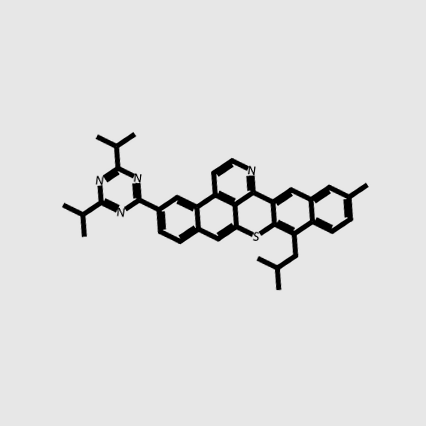 Cc1ccc2c(CC(C)C)c3c(cc2c1)-c1nccc2c1c(cc1ccc(-c4nc(C(C)C)nc(C(C)C)n4)cc12)S3